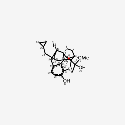 CO[C@@]12CC[C@@]3(C[C@@H]1C(C)(C)O)[C@H]1Cc4ccc(O)c5c4[C@@]3(CCN1CC1CC1)[C@H]2O5